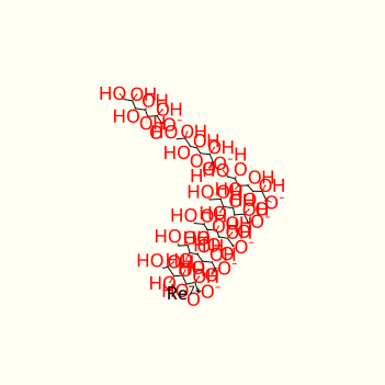 O=C([O-])[C@H](O)[C@H](O)[C@H](O)[C@@H](O)[C@H](O)CO.O=C([O-])[C@H](O)[C@H](O)[C@H](O)[C@@H](O)[C@H](O)CO.O=C([O-])[C@H](O)[C@H](O)[C@H](O)[C@@H](O)[C@H](O)CO.O=C([O-])[C@H](O)[C@H](O)[C@H](O)[C@@H](O)[C@H](O)CO.O=C([O-])[C@H](O)[C@H](O)[C@H](O)[C@@H](O)[C@H](O)CO.O=C([O-])[C@H](O)[C@H](O)[C@H](O)[C@@H](O)[C@H](O)CO.O=C([O-])[C@H](O)[C@H](O)[C@H](O)[C@@H](O)[C@H](O)CO.[Re+7]